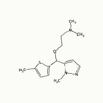 Cc1ccc(C(OCCN(C)C)c2ccnn2C)s1